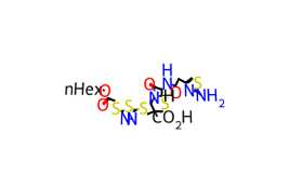 CCCCCCOC(=O)CSc1nnc(SCC2(C(=O)O)CS[C@@H]3C(NC(=O)Cc4csc(N)n4)C(=O)N3C2)s1